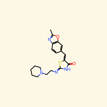 Cc1nc2ccc(/C=C3\S/C(=N\CCN4CCCCC4)NC3=O)cc2o1